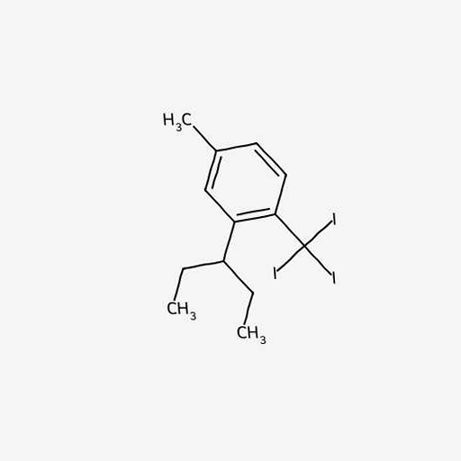 CCC(CC)c1cc(C)ccc1C(I)(I)I